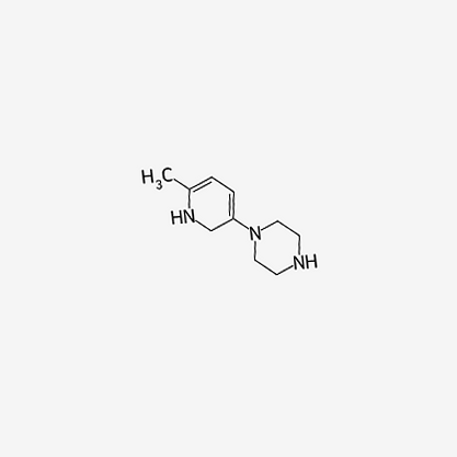 CC1=CC=C(N2CCNCC2)CN1